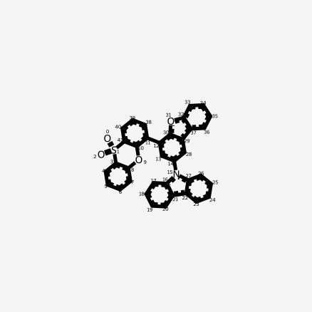 O=S1(=O)c2ccccc2Oc2c(-c3cc(-n4c5ccccc5c5ccccc54)cc4c3oc3ccccc34)cccc21